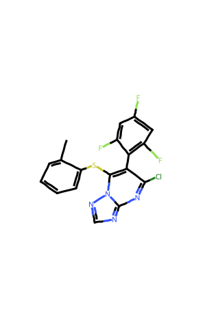 Cc1ccccc1Sc1c(-c2c(F)cc(F)cc2F)c(Cl)nc2ncnn12